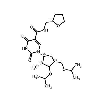 CC(C)OC[C@H]1O[C@@H](n2cc(C(=O)NC[C@@H]3CCCO3)c(=O)[nH]c2=O)[C@@H](C)C1OC(C)C